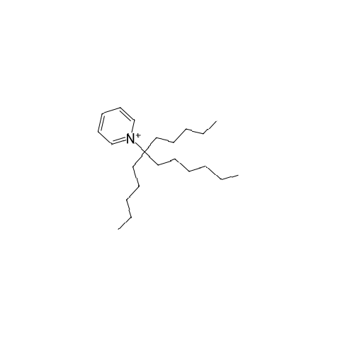 CCCCCCC(CCCCC)(CCCCC)[n+]1ccccc1